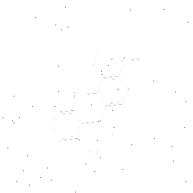 CCCc1c(OC)ccc(C(=O)c2ccccc2O)c1O